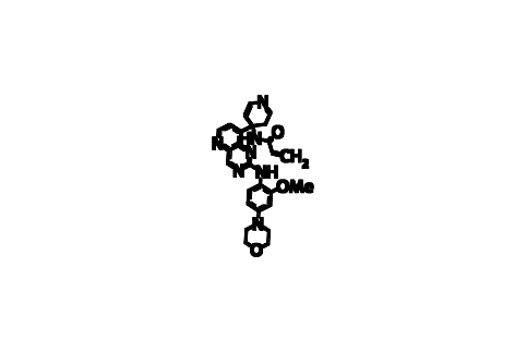 C=CC(=O)NC1(c2ccnc3cnc(Nc4ccc(N5CCOCC5)cc4OC)nc23)C=CN=CC1